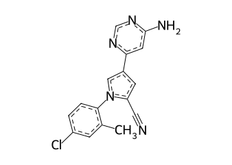 Cc1cc(Cl)ccc1-n1cc(-c2cc(N)ncn2)cc1C#N